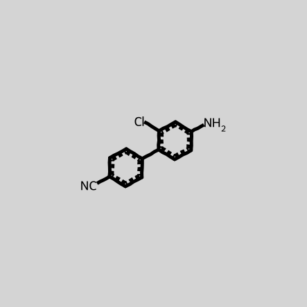 N#Cc1ccc(-c2ccc(N)cc2Cl)cc1